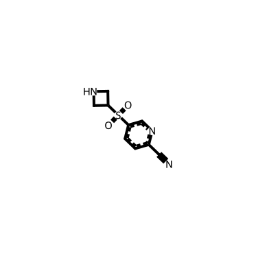 N#Cc1ccc(S(=O)(=O)C2CNC2)cn1